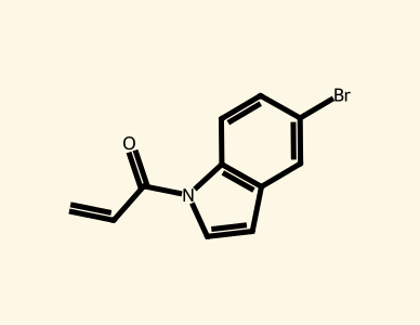 C=CC(=O)n1ccc2cc(Br)ccc21